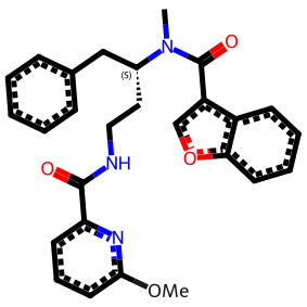 COc1cccc(C(=O)NCC[C@H](Cc2ccccc2)N(C)C(=O)c2coc3ccccc23)n1